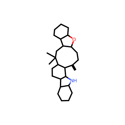 C=C1CCC2OC3CCCCC3C2CC(C)(C)C2CCC3C4CCCCC4NC3C12